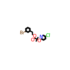 CC(C)(Oc1ccc(Cl)cn1)C(=O)OCCc1cccc(Br)c1